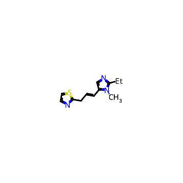 CCc1ncc(C=CCc2nccs2)n1C